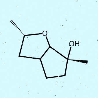 C[C@H]1CC2CC[C@@](C)(O)C2O1